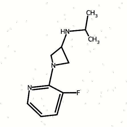 CC(C)NC1CN(c2ncccc2F)C1